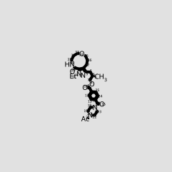 CCn1nc(C[C@@H](C)COC(=O)c2ccc(C(=O)N3CCN(C(C)=O)CC3)cc2)c2c1C(=O)NCCCOCCC2